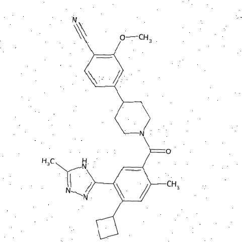 COc1cc(C2CCN(C(=O)c3cc(-c4nnc(C)[nH]4)c(C4CCC4)cc3C)CC2)ccc1C#N